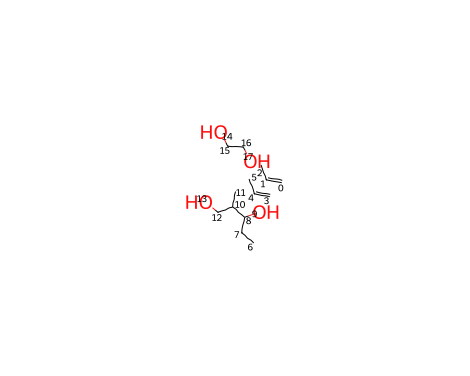 C=CC.C=CC.CCC(O)C(C)CO.OCCO